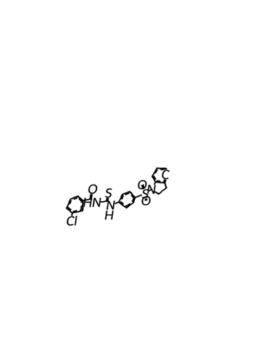 O=C(NC(=S)Nc1ccc(S(=O)(=O)N2CCc3ccccc32)cc1)c1cccc(Cl)c1